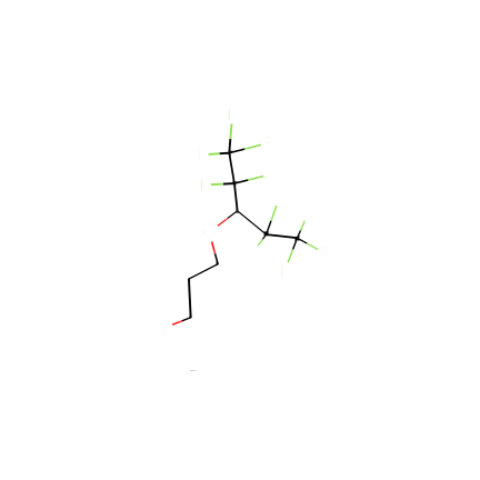 [Li+].[O-]CCCOC(C(F)(F)C(F)(F)F)C(F)(F)C(F)(F)F